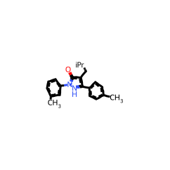 Cc1ccc(-c2[nH]n(-c3cccc(C)c3)c(=O)c2CC(C)C)cc1